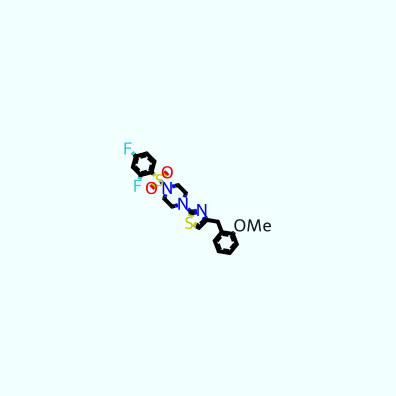 COc1ccccc1Cc1csc(N2CCN(S(=O)(=O)c3ccc(F)cc3F)CC2)n1